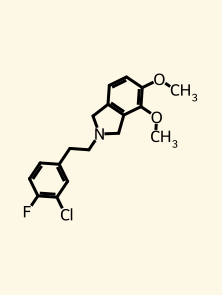 COc1ccc2c(c1OC)CN(CCc1ccc(F)c(Cl)c1)C2